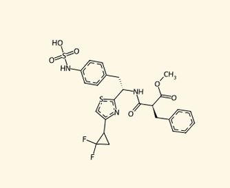 COC(=O)[C@@H](Cc1ccccc1)C(=O)N[C@@H](Cc1ccc(NS(=O)(=O)O)cc1)c1nc(C2CC2(F)F)cs1